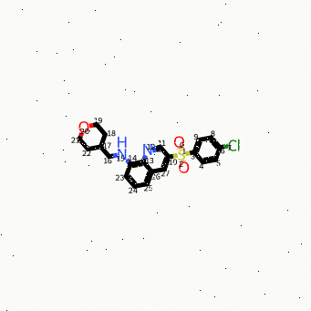 O=S(=O)(c1ccc(Cl)cc1)c1cnc2c(NCC3CCOCC3)cccc2c1